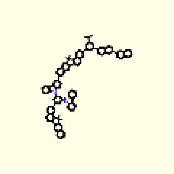 CC(C)c1cc(-c2ccc3cc(-c4ccc5ccccc5c4)ccc3c2)cc(-c2ccc3c4c(ccc3c2)-c2cc3cc(-c5ccc6c(c5)c5ccccc5n6-c5cc(-c6ccc7ccc8c(c7c6)C(C)(C)c6cc7ccccc7cc6-8)cc(-n6c7ccccc7c7ccccc76)c5)ccc3cc2C4(C)C)c1